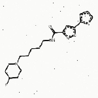 O=C(NCCCCCN1CCC(F)CC1)c1cc(-c2cccs2)on1